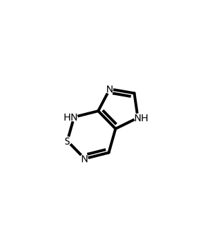 C1=NSNc2nc[nH]c21